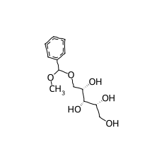 COC(OC[C@H](O)[C@@H](O)[C@H](O)CO)c1ccccc1